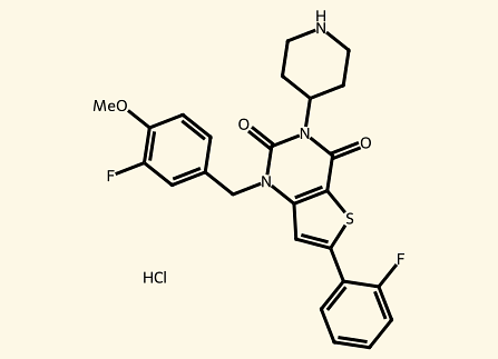 COc1ccc(Cn2c(=O)n(C3CCNCC3)c(=O)c3sc(-c4ccccc4F)cc32)cc1F.Cl